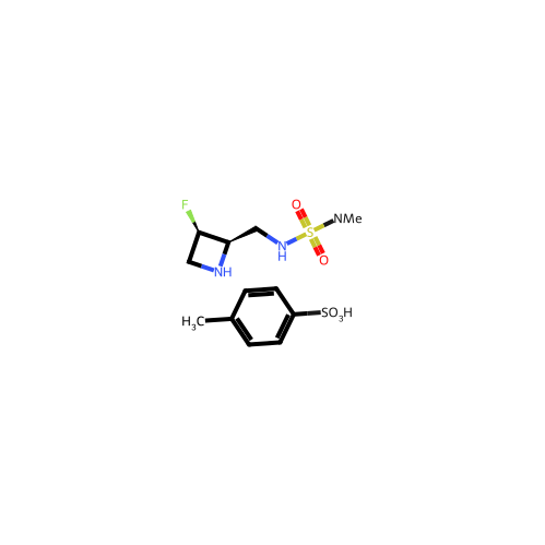 CNS(=O)(=O)NC[C@H]1NC[C@H]1F.Cc1ccc(S(=O)(=O)O)cc1